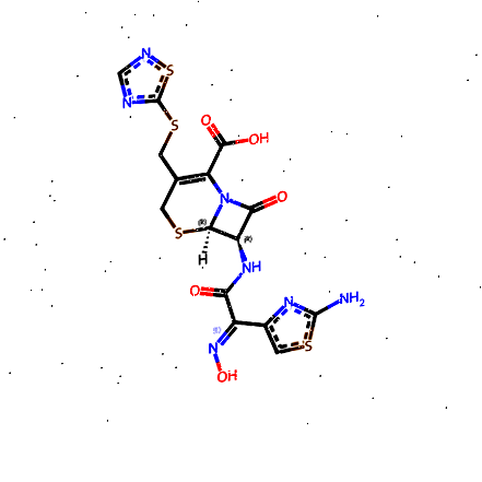 Nc1nc(/C(=N\O)C(=O)N[C@@H]2C(=O)N3C(C(=O)O)=C(CSc4ncns4)CS[C@H]23)cs1